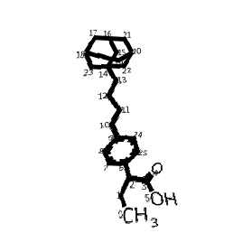 CCC(C(=O)O)c1ccc(CCCCC23CC4CC(CC(C4)C2)C3)cc1